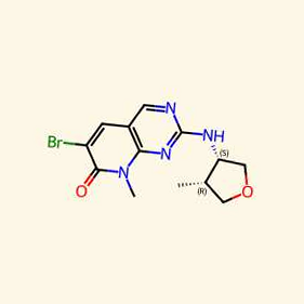 C[C@H]1COC[C@H]1Nc1ncc2cc(Br)c(=O)n(C)c2n1